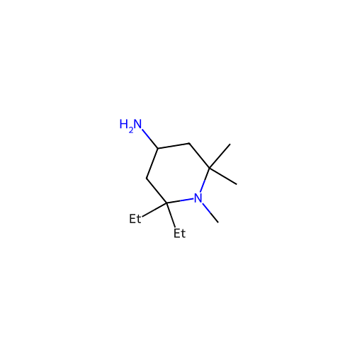 CCC1(CC)CC(N)CC(C)(C)N1C